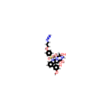 COc1ccc([C@]23C[C@@]4(O)C(=O)N(C)C(C)(O)C(=O)N4[C@H]2N(S(=O)(=O)c2ccc(OCCCN=[N+]=[N-])cc2)c2ccccc23)cc1